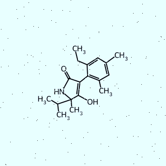 CCc1cc(C)cc(C)c1C1=C(O)C(C)(C(C)C)NC1=O